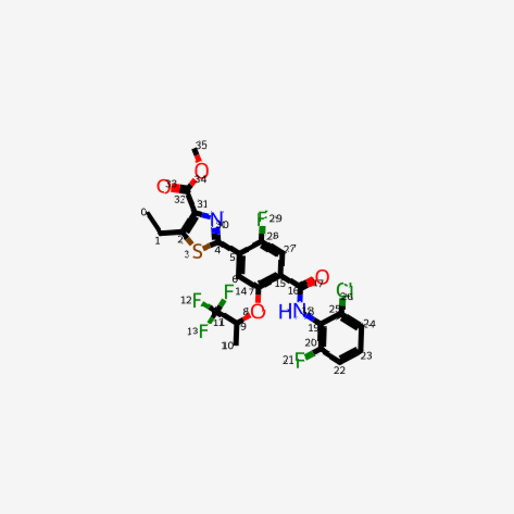 CCc1sc(-c2cc(OC(C)C(F)(F)F)c(C(=O)Nc3c(F)cccc3Cl)cc2F)nc1C(=O)OC